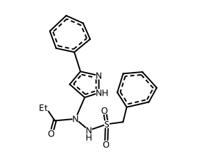 CCC(=O)N(NS(=O)(=O)Cc1ccccc1)c1cc(-c2ccccc2)n[nH]1